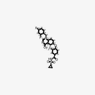 O=C(NS(=O)(=O)C1CC1)c1ccc(Oc2ccc3c(c2)c(=O)ncn3Cc2ccc(F)cc2F)c(C(F)(F)F)c1